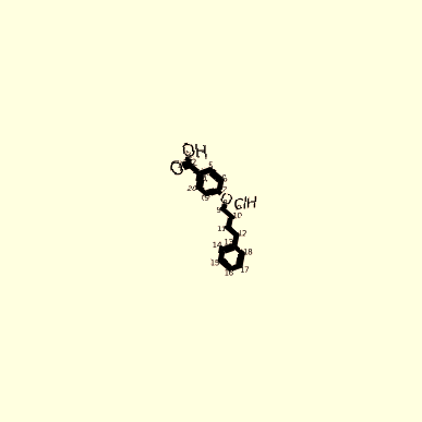 Cl.O=C(O)c1ccc(OCCCCc2ccccc2)cc1